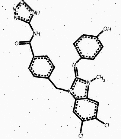 Cn1/c(=N\c2ccc(O)cc2)n(Cc2ccc(C(=O)Nc3nnn[nH]3)cc2)c2cc(Cl)c(Cl)cc21